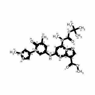 COC(=O)c1cnn2c(N(C)C(=O)OC(C)(C)C)cc(Nc3cc(C)c(=O)n(-c4cnn(C)c4)c3)nc12